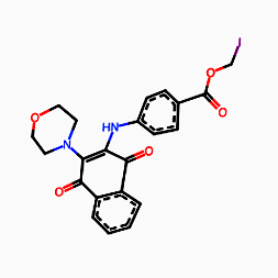 O=C(OCI)c1ccc(NC2=C(N3CCOCC3)C(=O)c3ccccc3C2=O)cc1